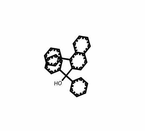 OC(c1ccccc1)(c1ccccc1)c1ccc2ccccc2c1-c1ccccc1